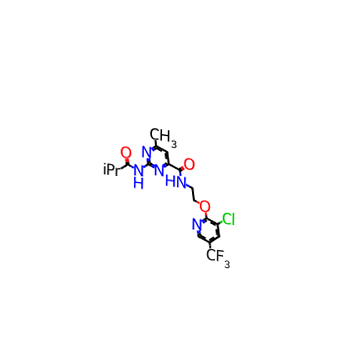 Cc1cc(C(=O)NCCOc2ncc(C(F)(F)F)cc2Cl)nc(NC(=O)C(C)C)n1